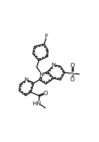 CNC(=O)c1cccnc1-c1cc2cc(S(C)(=O)=O)cnc2n1Cc1ccc(F)cc1